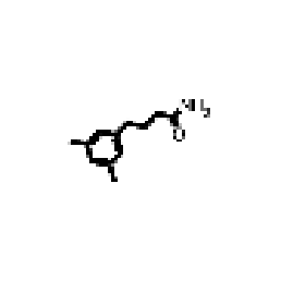 Cc1cc(C)cc(CCCC(N)=O)c1